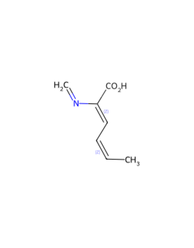 C=N/C(=C\C=C/C)C(=O)O